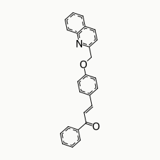 O=C(C=Cc1ccc(OCc2ccc3ccccc3n2)cc1)c1ccccc1